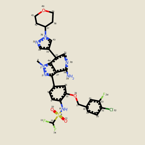 Cn1nc(-c2ccc(NS(=O)(=O)C(F)F)c(OCc3ccc(Cl)c(F)c3)c2)c2c(N)ncc(-c3cnn(C4CCOCC4)c3)c21